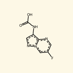 O=C(O)Nc1cnn2cc(F)cnc12